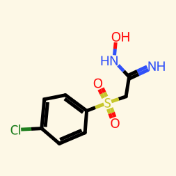 N=C(CS(=O)(=O)c1ccc(Cl)cc1)NO